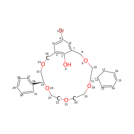 Oc1c2cc(Br)cc1COC[C@H](C1C=CC=CC1)OCCOCCO[C@@H](c1ccccc1)COC2